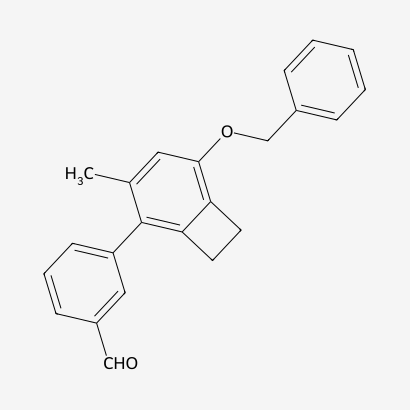 Cc1cc(OCc2ccccc2)c2c(c1-c1cccc(C=O)c1)CC2